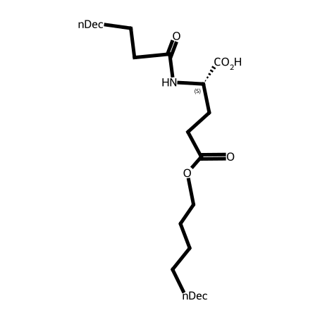 CCCCCCCCCCCCCCOC(=O)CC[C@H](NC(=O)CCCCCCCCCCCC)C(=O)O